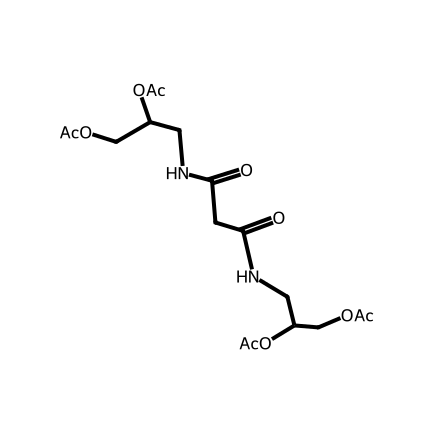 CC(=O)OCC(CNC(=O)CC(=O)NCC(COC(C)=O)OC(C)=O)OC(C)=O